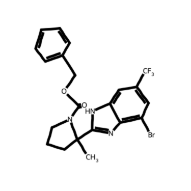 CC1(c2nc3c(Br)cc(C(F)(F)F)cc3[nH]2)CCCN1C(=O)OCc1ccccc1